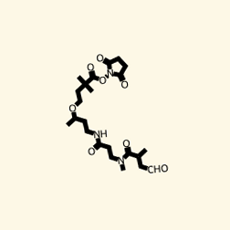 CC(CCNC(=O)CCN(C)C(=O)C(C)CC=O)OCCC(C)(C)C(=O)ON1C(=O)CCC1=O